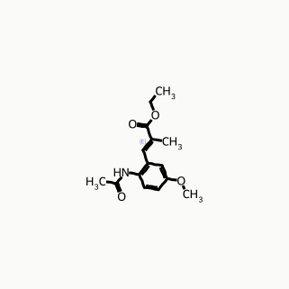 CCOC(=O)/C(C)=C/c1cc(OC)ccc1NC(C)=O